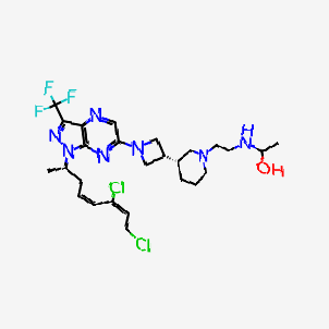 CC(O)NCCN1CCC[C@H](C2CN(c3cnc4c(C(F)(F)F)nn([C@H](C)C/C=C\C(Cl)=C/CCl)c4n3)C2)C1